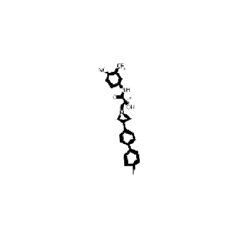 C[C@](O)(CN1CC(c2ccc(-c3ccc(F)cc3)cc2)C1)C(=O)Nc1ccc(C#N)c(C(F)(F)F)c1